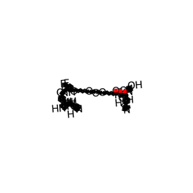 Cc1ncsc1-c1ccc(CN(C(=O)[C@@H]2C[C@@H](O)CN2)C(=O)[C@@H](NC(=O)CCCCCOCCOCCOCCCCCCOc2ccc(C(F)(F)F)c(CNC(=O)c3cccc(NC4(c5nnc(-c6ccncc6)[nH]5)CCNCC4)c3)c2)C(C)(C)C)cc1